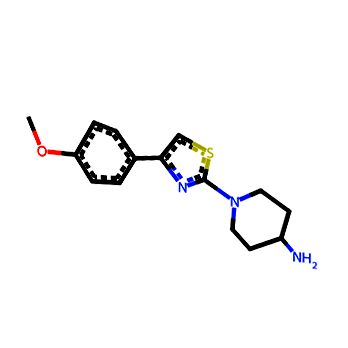 COc1ccc(-c2csc(N3CCC(N)CC3)n2)cc1